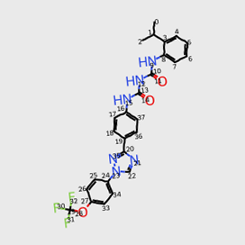 CC(C)c1ccccc1NC(=O)NC(=O)Nc1ccc(-c2ncn(-c3ccc(OC(F)(F)F)cc3)n2)cc1